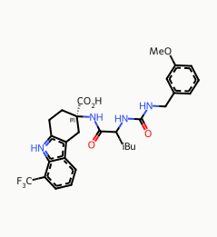 CCC(C)C(NC(=O)NCc1cccc(OC)c1)C(=O)N[C@]1(C(=O)O)CCc2[nH]c3c(C(F)(F)F)cccc3c2C1